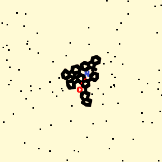 CC1(C)c2ccccc2-c2cccc(N(c3ccc4c(c3)C3(c5ccccc5-c5ccccc53)c3ccccc3-4)c3ccccc3-c3ccc4oc5cc6ccccc6cc5c4c3)c21